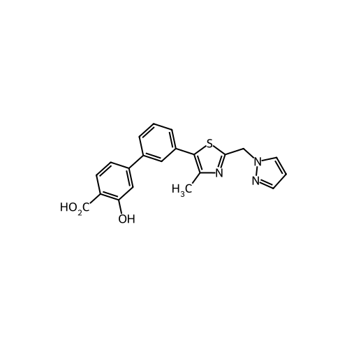 Cc1nc(Cn2cccn2)sc1-c1cccc(-c2ccc(C(=O)O)c(O)c2)c1